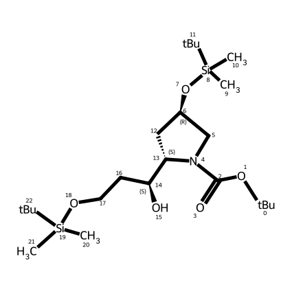 CC(C)(C)OC(=O)N1C[C@H](O[Si](C)(C)C(C)(C)C)C[C@H]1[C@@H](O)CCO[Si](C)(C)C(C)(C)C